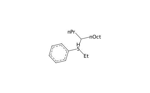 CCCCCCCCC(CCC)[SH](CC)c1ccccc1